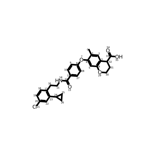 Cc1cc2c(cc1Oc1ccc(C(=O)NCCc3ccc(Cl)cc3C3CC3)cc1)OCCC2C(=O)O